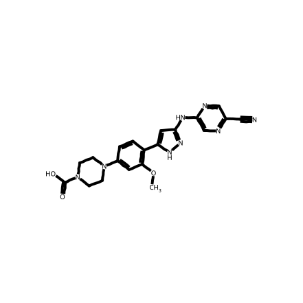 COc1cc(N2CCN(C(=O)O)CC2)ccc1-c1cc(Nc2cnc(C#N)cn2)n[nH]1